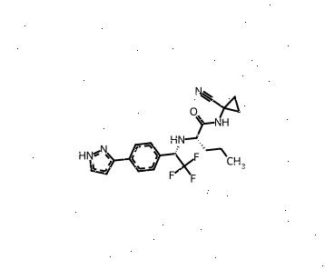 CCC[C@H](N[C@@H](c1ccc(-c2cc[nH]n2)cc1)C(F)(F)F)C(=O)NC1(C#N)CC1